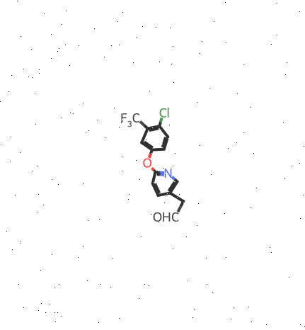 O=CCc1ccc(Oc2ccc(Cl)c(C(F)(F)F)c2)nc1